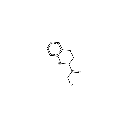 O=C(CBr)C1CCc2ccccc2N1